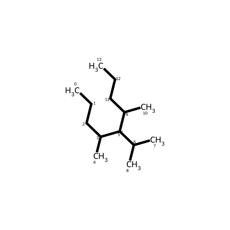 CCCC(C)[C](C(C)C)C(C)CCC